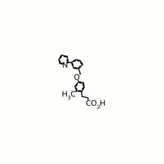 Cc1cc(OCc2cccc(-c3ccccn3)c2)ccc1CCC(=O)O